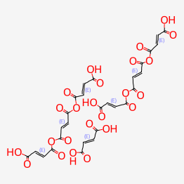 O=C(O)/C=C/C(=O)O.O=C(O)/C=C/C(=O)OC(=O)/C=C/C(=O)OC(=O)/C=C/C(=O)O.O=C(O)/C=C/C(=O)OC(=O)/C=C/C(=O)OC(=O)/C=C/C(=O)O